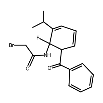 CC(C)C1=CC=CC(C(=O)c2ccccc2)C1(F)NC(=O)CBr